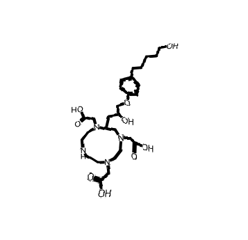 O=C(O)CN1CCNCCN(CC(=O)O)C(CC(O)COc2ccc(CCCCCO)cc2)CN(CC(=O)O)CC1